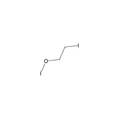 ICCOI